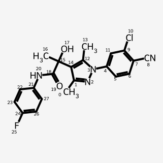 Cc1nn(-c2ccc(C#N)c(Cl)c2)c(C)c1C(C)(O)C(=O)Nc1ccc(F)cc1